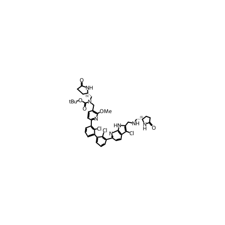 COc1nc(-c2cccc(-c3cccc(-c4ccc5c(Cl)c(CNC[C@@H]6CCC(=O)N6)[nH]c5n4)c3Cl)c2Cl)ccc1CN(C[C@@H]1CCC(=O)N1)C(=O)OC(C)(C)C